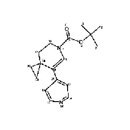 CC(C)(C)OC(=O)N1C=C(c2ccncc2)C2(CC1)CC2